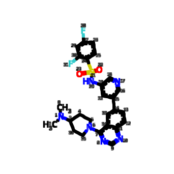 CN(C)C1CCN(c2ncnc3ccc(-c4cncc(NS(=O)(=O)c5ccc(F)cc5F)c4)cc23)CC1